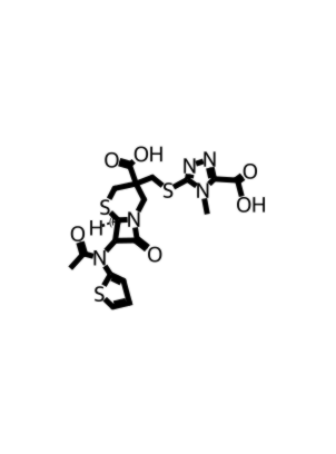 CC(=O)N(c1cccs1)C1C(=O)N2CC(CSc3nnc(C(=O)O)n3C)(C(=O)O)CS[C@H]12